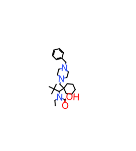 CCN(C(=O)O)C(C(C)(C)C)C1(CN2CCN(Cc3ccccc3)CC2)CCCCC1